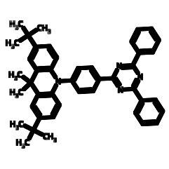 CC(C)(C)c1ccc2c(c1)C(C)(C)c1cc(C(C)(C)C)ccc1N2c1ccc(-c2nc(-c3ccccc3)nc(-c3ccccc3)n2)cc1